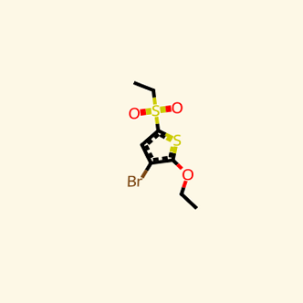 CCOc1sc(S(=O)(=O)CC)cc1Br